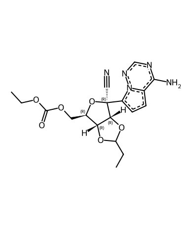 CCOC(=O)OC[C@H]1O[C@@](C#N)(c2ccc3c(N)ncnn23)[C@@H]2OC(CC)O[C@@H]21